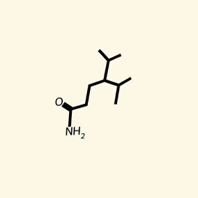 CC(C)C(CCC(N)=O)C(C)C